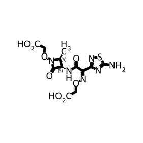 C[C@H]1[C@H](NC(=O)C(=NOCC(=O)O)c2nsc(N)n2)C(=O)N1OCC(=O)O